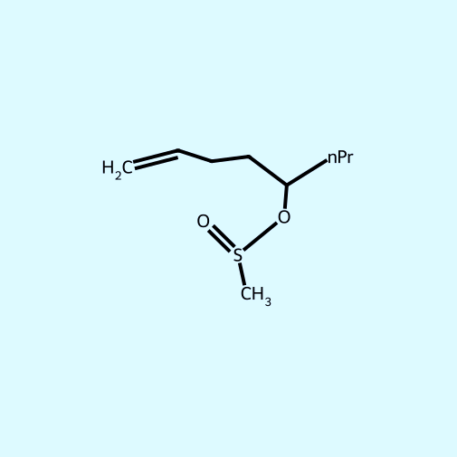 C=CCCC(CCC)OS(C)=O